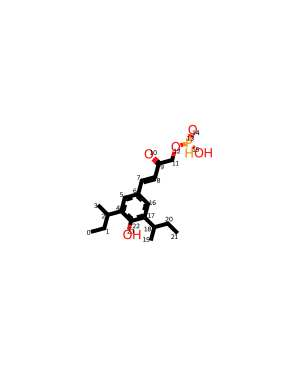 CCC(C)c1cc(C=CC(=O)CO[PH](=O)O)cc(C(C)CC)c1O